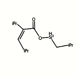 CC(C)C=C(C(=O)O[SiH2]CC(C)C)C(C)C